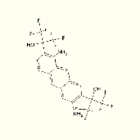 Nc1cc2cc3ccc(C(O)(C(F)(F)F)C(F)(F)F)c(N)c3cc2cc1C(O)(C(F)(F)F)C(F)(F)F